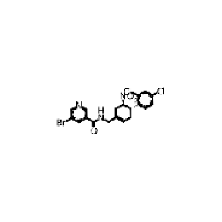 O=C(NCC1=CC[C@@H](c2ccc(Cl)cc2Cl)[C@H]([N+](=O)[O-])C1)c1cncc(Br)c1